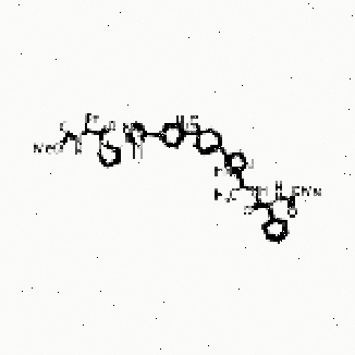 COC(=O)N[C@H](C(=O)N1CCC[C@H]1c1ncc(-c2ccc(C3(C)CC=C(c4cnc([C@H](C)NC(=O)[C@H](NC(=O)OC)c5ccccc5)[nH]4)CC3)cc2)[nH]1)C(C)C